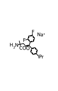 CC(C)c1ccc(/C(=C/CC(C)(N)C(=O)[O-])c2ccc(F)cc2F)cc1.[Na+]